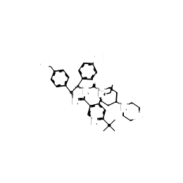 CCOc1cc(C(C)(C)C)ncc1C1=N[C@@](C)(c2ccc(Cl)cc2)[C@@](C)(c2ccc(Cl)cc2)N1C(=O)N1CCC(N2CCOCC2)CC1